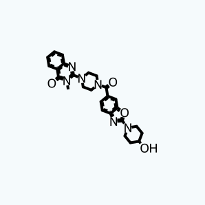 Cn1c(N2CCN(C(=O)c3ccc4nc(N5CCC(O)CC5)oc4c3)CC2)nc2ccccc2c1=O